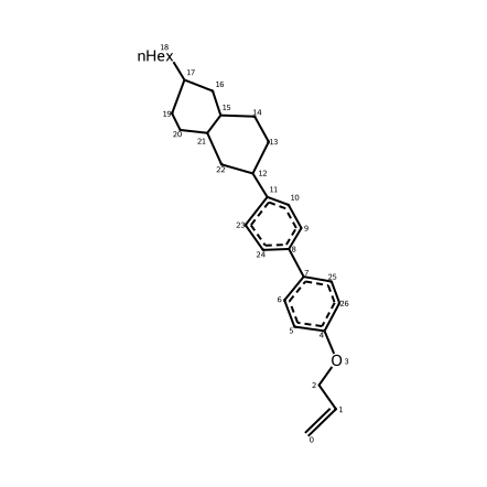 C=CCOc1ccc(-c2ccc(C3CCC4CC(CCCCCC)CCC4C3)cc2)cc1